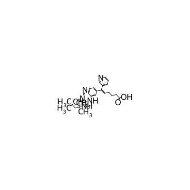 CC(C)(C)CC(C)(C)NC(=NC#N)Nc1cccc(C(=CCCCC(=O)O)c2cccnc2)c1